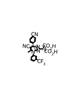 CC1=C(C#N)[C@@H](c2ccc(C#N)cc2)n2nc(N(C(=O)O)C(=O)O)nc2N1c1cccc(C(F)(F)F)c1